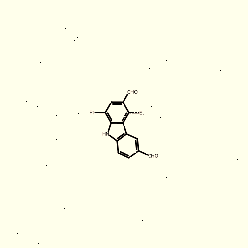 CCc1cc(C=O)c(CC)c2c1[nH]c1ccc(C=O)cc12